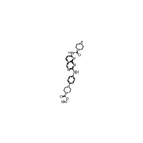 CN1CCN(C(=O)Nc2ccc3cnc(Nc4ccc(N5CCN(C(=O)OC(C)(C)C)CC5)cc4)nc3n2)CC1